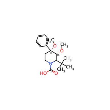 CO[C@@H]1C(C(C)(C)C)N(C(=O)O)CC[C@@]1(OC)c1ccccc1